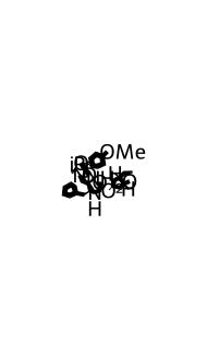 COc1ccc(S(=O)(=O)N(CC(C)C)C[C@@H](N)[C@H](Cc2ccccc2)NC(=O)O[C@@H]2C[C@@H]3CCO[C@@H]3C2)cc1